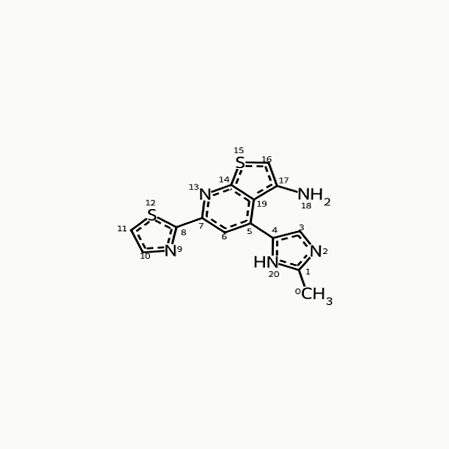 Cc1ncc(-c2cc(-c3nccs3)nc3scc(N)c23)[nH]1